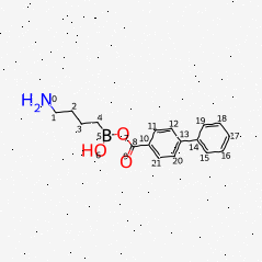 NCCCCB(O)OC(=O)c1ccc(-c2ccccc2)cc1